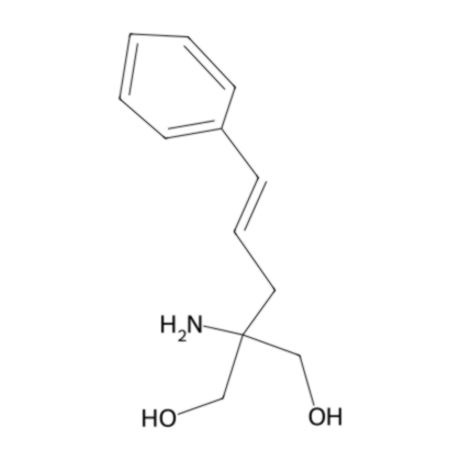 NC(CO)(CO)C/C=C/c1ccccc1